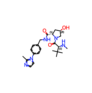 CN[C@H](C(=O)N1C[C@H](O)C[C@H]1C(=O)NCc1ccc(-n2ccnc2C)cc1)C(C)(C)C